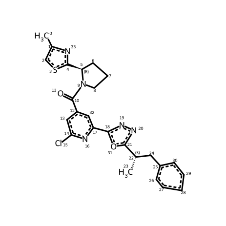 Cc1csc([C@H]2CCCN2C(=O)c2cc(Cl)nc(-c3nnc([C@@H](C)Cc4ccccc4)o3)c2)n1